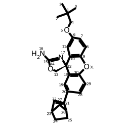 CC(C)(C)COc1ccc2c(c1)[C@]1(COC(N)=N1)c1cc(C3=CC4CCC3C4)ccc1O2